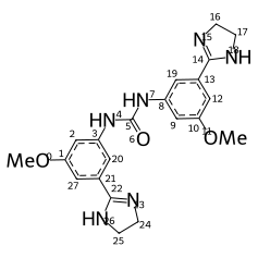 COc1cc(NC(=O)Nc2cc(OC)cc(C3=NCCN3)c2)cc(C2=NCCN2)c1